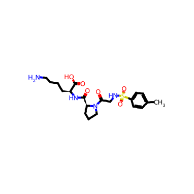 Cc1ccc(S(=O)(=O)NCC(=O)N2CCC[C@H]2C(=O)N[C@@H](CCCCN)C(=O)O)cc1